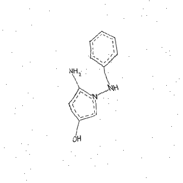 Nc1cc(O)cn1Nc1ccccc1